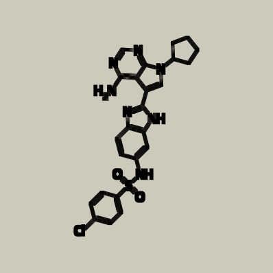 Nc1ncnc2c1c(-c1nc3ccc(NS(=O)(=O)c4ccc(Cl)cc4)cc3[nH]1)cn2C1CCCC1